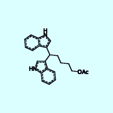 CC(=O)OCCCCC(c1c[nH]c2ccccc12)c1c[nH]c2ccccc12